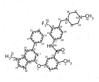 Cc1ccc(Oc2nc(-c3ccccc3)nc3c2ncn3C)cc1C(=O)Nc1ccc(CN2CCN(C)CC2)c(C(F)(F)F)c1